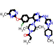 C=CC(=O)N1C[C@H](C)N(c2nc(Nc3cnn(C4CCN(C)CC4)c3)ncc2-c2ccc(Oc3nccc(C)n3)c(F)c2)C[C@H]1C